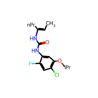 CC=C(CCC)NC(=O)Nc1cc(OC(C)C)c(Cl)cc1F